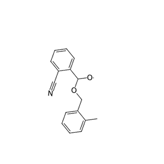 Cc1ccccc1COC([O])c1ccccc1C#N